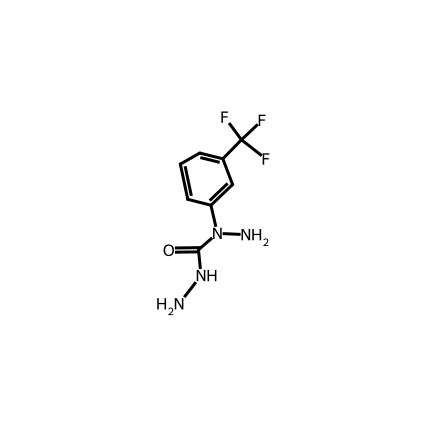 NNC(=O)N(N)c1cccc(C(F)(F)F)c1